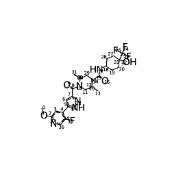 COc1cc(-c2cc(C(=O)N3C[C@H](C)[C@H](C(=O)NC4CCC(O)(C(F)(F)F)CC4)C[C@@H]3C)n[nH]2)c(F)cn1